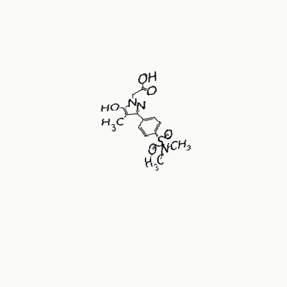 Cc1c(-c2ccc(S(=O)(=O)N(C)C)cc2)nn(CC(=O)O)c1O